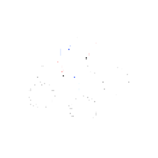 CCCCNC(=O)C(C1CCCCC1)N(C(=O)c1ccccc1C(F)(F)F)c1ccccc1